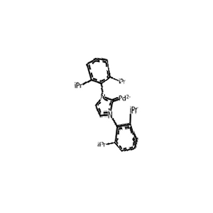 CC(C)c1cccc(C(C)C)c1-n1ccn(-c2c(C(C)C)cccc2C(C)C)[c]1=[Pd-2]